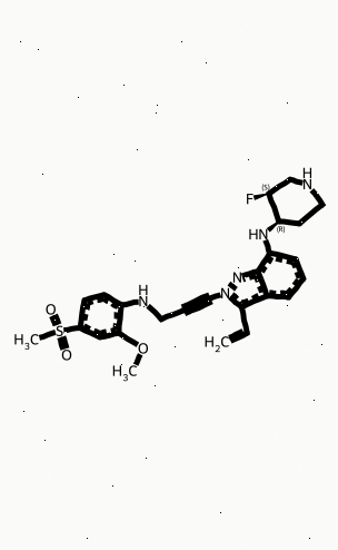 C=Cc1c2cccc(N[C@@H]3CCNC[C@@H]3F)c2nn1C#CCNc1ccc(S(C)(=O)=O)cc1OC